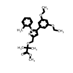 CCOc1cc(OCC)cc(-c2cc(COC(C)(C)C(=O)OC)nn2-c2ccccc2C)c1